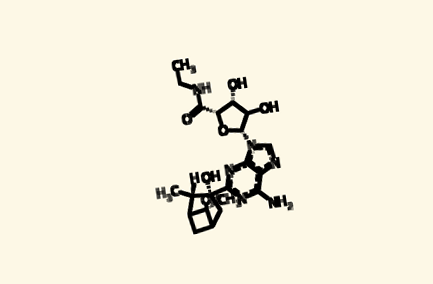 CCNC(=O)[C@H]1O[C@@H](n2cnc3c(N)nc([C@@]4(O)CC5CC([C@@H]4C)[C@@]5(C)O)nc32)C(O)[C@H]1O